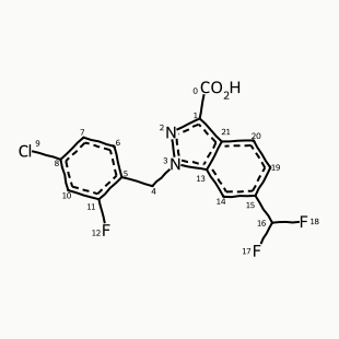 O=C(O)c1nn(Cc2ccc(Cl)cc2F)c2cc(C(F)F)ccc12